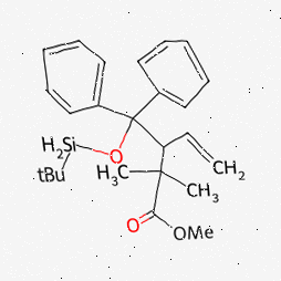 C=CC(C(C)(C)C(=O)OC)C(O[SiH2]C(C)(C)C)(c1ccccc1)c1ccccc1